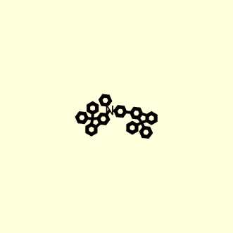 c1ccc(N(c2ccc(-c3ccc4c(c3)C(c3ccccc3)(c3ccccc3)c3ccccc3-4)cc2)c2ccc3c(c2)C(c2ccccc2)(c2ccccc2)c2ccccc2-3)cc1